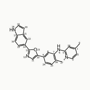 Cc1ccnc(Nc2cc(-c3cnc(-c4ccc5[nH]ccc5c4)o3)ccc2C)c1